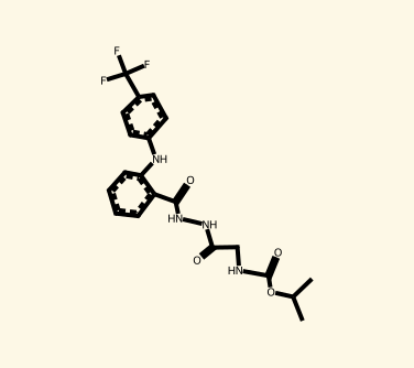 CC(C)OC(=O)NCC(=O)NNC(=O)c1ccccc1Nc1ccc(C(F)(F)F)cc1